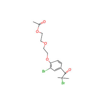 CC(=O)OCCOCCOc1ccc(C(=O)C(C)(C)Br)cc1Br